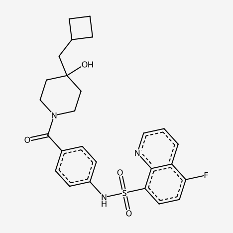 O=C(c1ccc(NS(=O)(=O)c2ccc(F)c3cccnc23)cc1)N1CCC(O)(CC2CCC2)CC1